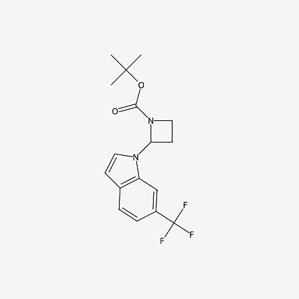 CC(C)(C)OC(=O)N1CCC1n1ccc2ccc(C(F)(F)F)cc21